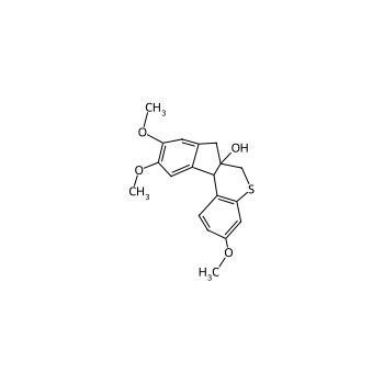 COc1ccc2c(c1)SCC1(O)Cc3cc(OC)c(OC)cc3C21